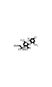 CCC(CNC)Nc1cc(C)nc(Oc2c(C)cc(Cl)cc2C)c1C(=O)OC